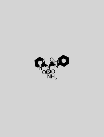 NS(=O)(=O)N(C(=O)Nc1ccccc1)c1ncccn1